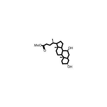 COC(=O)CC[C@@H](C)C1CCC2C3C(CC[C@@]21C)[C@@]1(C)CC[C@@H](O)CC1C[C@@H]3O